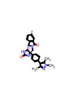 Cc1nn(C)c(C)c1-c1ccc([C@]2(CN3Cc4ccc(F)cc4C3=O)NC(=O)NC2=O)cc1